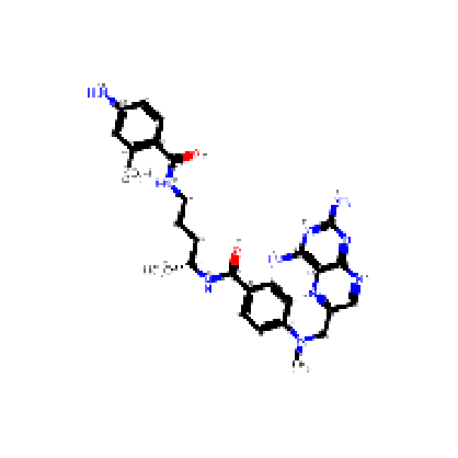 CN(Cc1cnc2nc(N)nc(N)c2n1)c1ccc(C(=O)N[C@@H](CCCNC(=O)c2ccc(N)cc2C(=O)O)C(=O)O)cc1